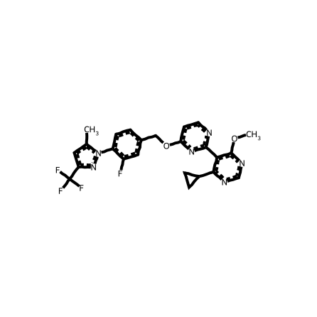 COc1ncnc(C2CC2)c1-c1nccc(OCc2ccc(-n3nc(C(F)(F)F)cc3C)c(F)c2)n1